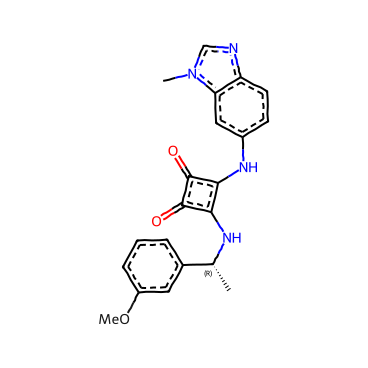 COc1cccc([C@@H](C)Nc2c(Nc3ccc4ncn(C)c4c3)c(=O)c2=O)c1